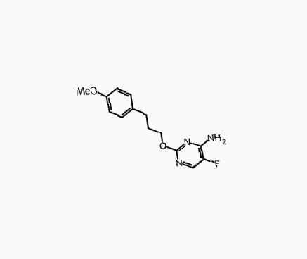 COc1ccc(CCCOc2ncc(F)c(N)n2)cc1